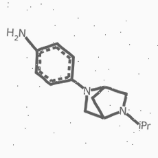 CC(C)N1CC2CC1CN2c1ccc(N)cc1